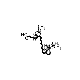 CCOC(=O)C[C@H](CCCCCCc1ccc2c(n1)N(C(=O)OC(C)(C)C)CCC2)c1cnc(CCC(=O)O)nc1